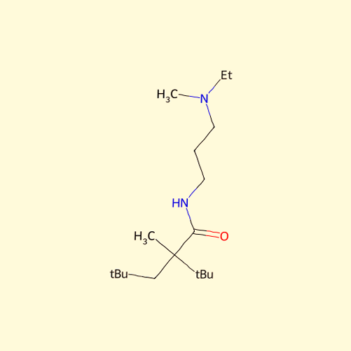 CCN(C)CCCNC(=O)C(C)(CC(C)(C)C)C(C)(C)C